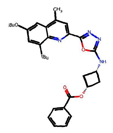 Cc1cc(-c2nnc(N[C@H]3C[C@@H](OC(=O)c4ccccc4)C3)o2)nc2c(C(C)(C)C)cc(OCC(C)C)cc12